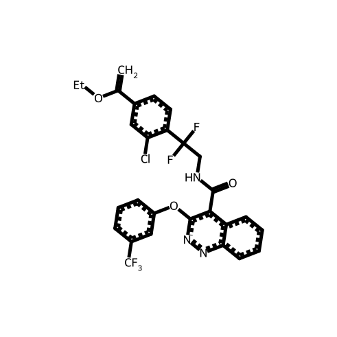 C=C(OCC)c1ccc(C(F)(F)CNC(=O)c2c(Oc3cccc(C(F)(F)F)c3)nnc3ccccc23)c(Cl)c1